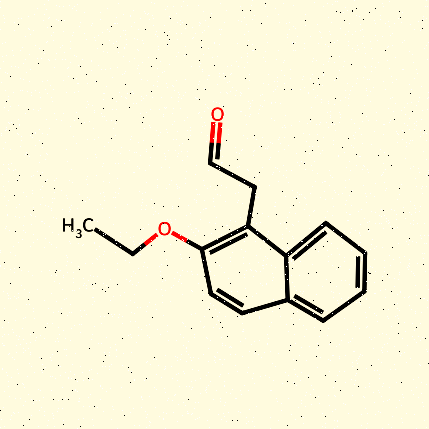 CCOc1ccc2ccccc2c1CC=O